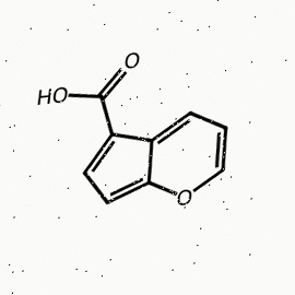 O=C(O)c1ccc2occcc1-2